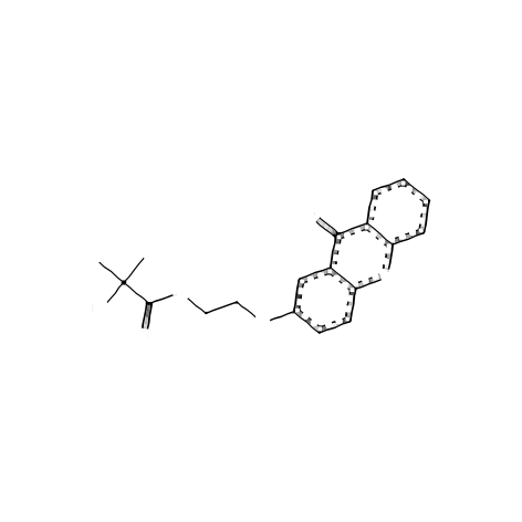 CCC(C)(C)C(=O)OCCOc1ccc2sc3ccccc3c(=O)c2c1